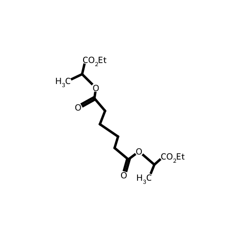 CCOC(=O)C(C)OC(=O)CCCCC(=O)OC(C)C(=O)OCC